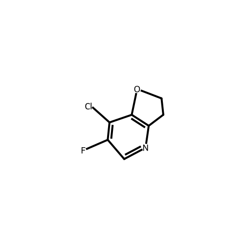 Fc1cnc2c(c1Cl)OCC2